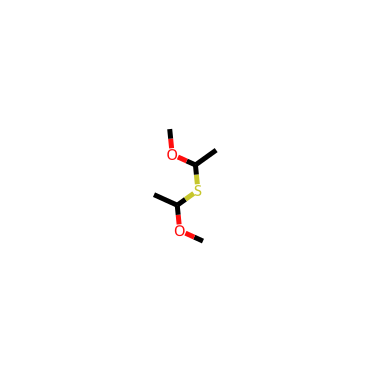 COC(C)SC(C)OC